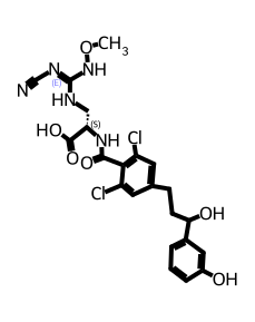 CON/C(=N/C#N)NC[C@H](NC(=O)c1c(Cl)cc(CCC(O)c2cccc(O)c2)cc1Cl)C(=O)O